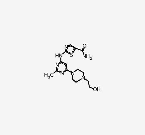 Cc1nc(Nc2ncc(C(N)=O)s2)cc(N2CCN(CCO)CC2)n1